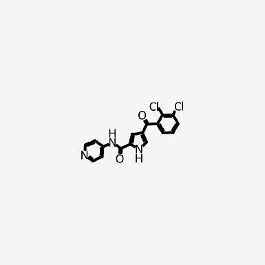 O=C(Nc1ccncc1)c1cc(C(=O)c2cccc(Cl)c2Cl)c[nH]1